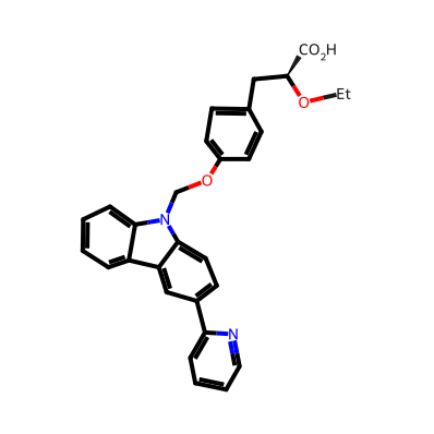 CCO[C@@H](Cc1ccc(OCn2c3ccccc3c3cc(-c4ccccn4)ccc32)cc1)C(=O)O